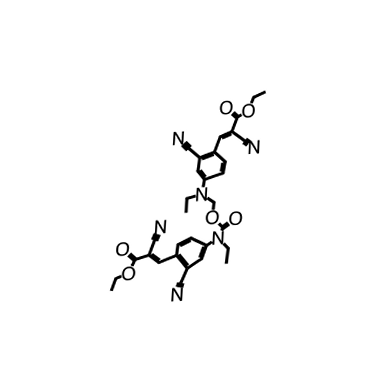 CCOC(=O)/C(C#N)=C/c1ccc(N(CC)COC(=O)N(CC)c2ccc(/C=C(\C#N)C(=O)OCC)c(C#N)c2)cc1C#N